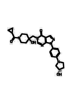 O=C(C1CC1)N1CCC(O)(Cn2cnc3c(cnn3-c3ccc(N4CC[C@H](O)C4)cc3)c2=O)CC1